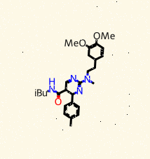 CCC(C)NC(=O)C1C=NC(N(C)CCC2C=CC(OC)=C(OC)C2)=NC1c1ccc(C)cc1